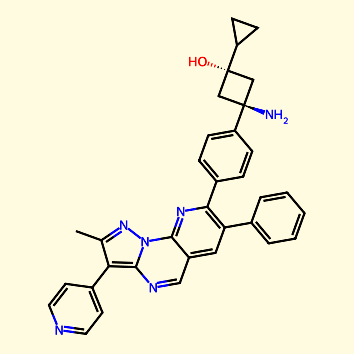 Cc1nn2c(ncc3cc(-c4ccccc4)c(-c4ccc([C@]5(N)C[C@@](O)(C6CC6)C5)cc4)nc32)c1-c1ccncc1